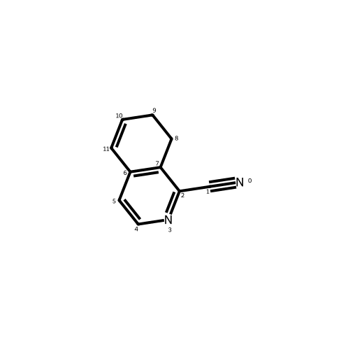 N#Cc1nccc2c1CCC=C2